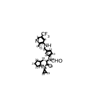 Cc1ncc(C(F)(F)F)cc1N[C@@H](C)c1ccc(N(C=O)[C@@H](CC2CCCC2)C(=O)NC2CC2)s1